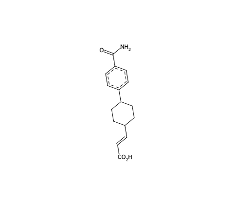 NC(=O)c1ccc(C2CCC(C=CC(=O)O)CC2)cc1